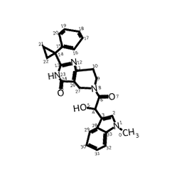 Cn1cc(C(O)C(=O)N2CCc3nc(C4(c5ccccc5)CC4)[nH]c(=O)c3C2)c2ccccc21